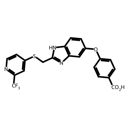 O=C(O)c1ccc(Oc2ccc3[nH]c(CSc4ccnc(C(F)(F)F)c4)nc3c2)cc1